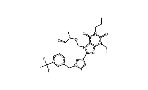 CCCn1c(=O)c2c(nc(-c3cnn(Cc4cccc(C(F)(F)F)c4)c3)n2CON(C)C=O)n(CC)c1=O